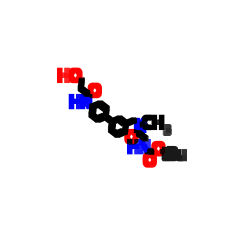 CN(Cc1cccc(-c2ccc(NC(=O)CCO)cc2)c1)C(=O)CNC(=O)OC(C)(C)C